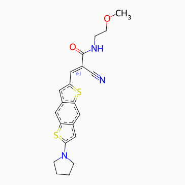 COCCNC(=O)/C(C#N)=C/c1cc2cc3sc(N4CCCC4)cc3cc2s1